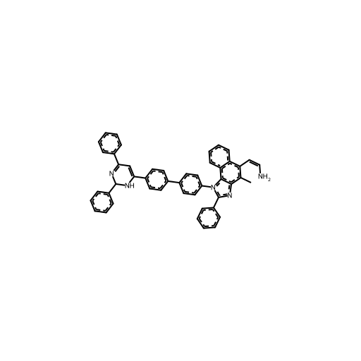 Cc1c(/C=C\N)c2ccccc2c2c1nc(-c1ccccc1)n2-c1ccc(-c2ccc(C3=CC(c4ccccc4)=NC(c4ccccc4)N3)cc2)cc1